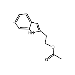 CC(=O)OCCc1cc2cc[c]cc2[nH]1